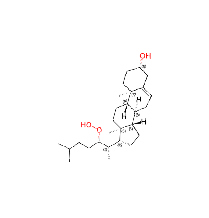 CC(C)CCC(OO)[C@@H](C)[C@H]1CC[C@H]2[C@@H]3CC=C4C[C@@H](O)CC[C@]4(C)[C@H]3CC[C@]12C